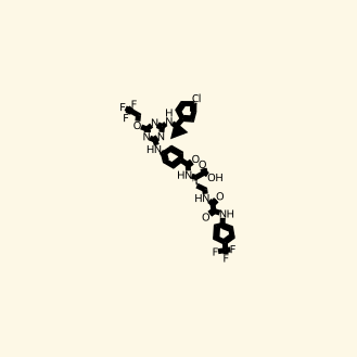 O=C(NCC[C@H](NC(=O)c1ccc(Nc2nc(NC3(c4ccc(Cl)cc4)CC3)nc(OCC(F)(F)F)n2)cc1)C(=O)O)C(=O)Nc1ccc(C(F)(F)F)cc1